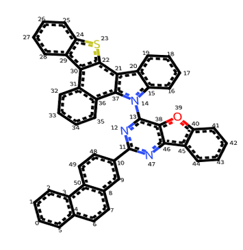 c1ccc2c(c1)ccc1cc(-c3nc(-n4c5ccccc5c5c6sc7ccccc7c6c6ccccc6c54)c4oc5ccccc5c4n3)ccc12